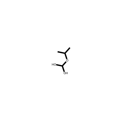 CC(C)OC(O)O